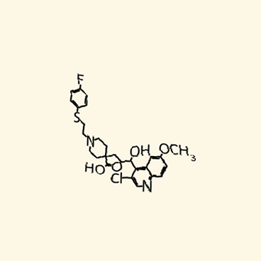 COc1ccc2ncc(Cl)c(C(O)CCC3(C(=O)O)CCN(CCSc4ccc(F)cc4)CC3)c2c1